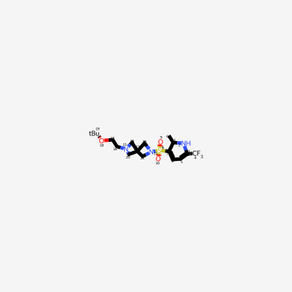 CC1NC(C(F)(F)F)=CC=C1S(=O)(=O)N1CC2(CN(CCOC(C)(C)C)C2)C1